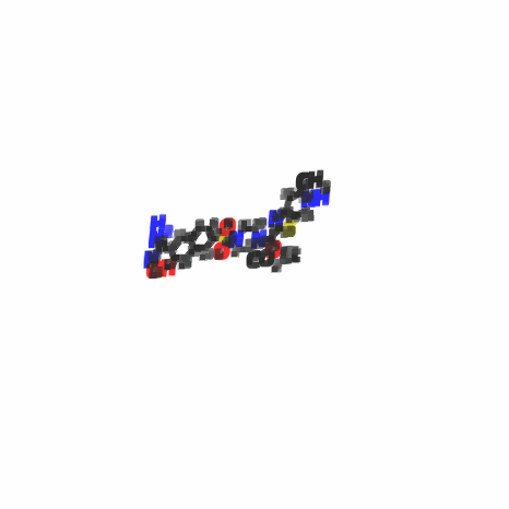 CCOC(=O)C1CN(S(=O)(=O)c2ccc3cc(/C(N)=N\O)ccc3c2)CCN1C(=O)c1nc2c(s1)CNC(C)C2